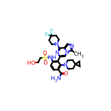 Cc1ncc2c(N3CCC(F)(F)CC3)nc(-c3c(NS(=O)(=O)CCO)ccc(C(N)=O)c3N3CCC4(CC3)CC4)cn12